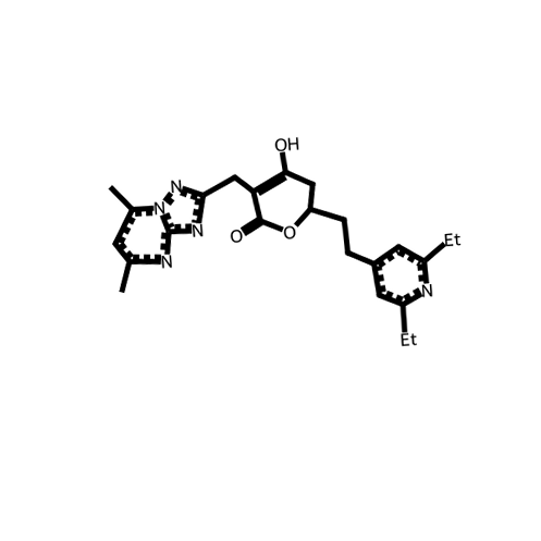 CCc1cc(CCC2CC(O)=C(Cc3nc4nc(C)cc(C)n4n3)C(=O)O2)cc(CC)n1